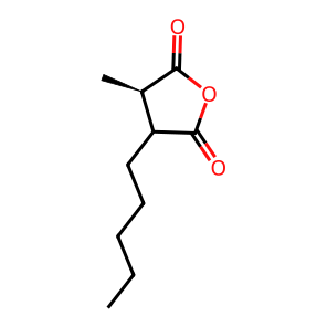 CCCCCC1C(=O)OC(=O)[C@@H]1C